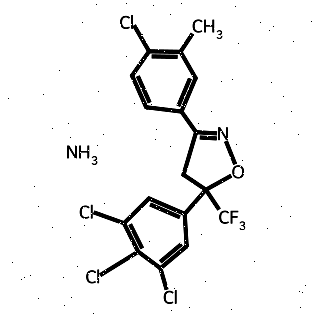 Cc1cc(C2=NOC(c3cc(Cl)c(Cl)c(Cl)c3)(C(F)(F)F)C2)ccc1Cl.N